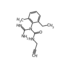 C#CCNC(=O)N(C(=N)N)c1c(C)cccc1CC